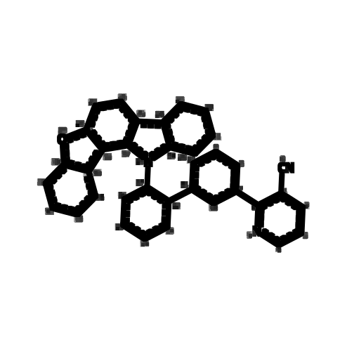 N#Cc1cccnc1-c1cccc(-c2ccccc2-n2c3ccccc3c3ccc4oc5ccccc5c4c32)c1